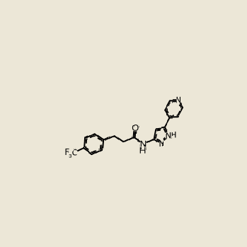 O=C(CCc1ccc(C(F)(F)F)cc1)Nc1cc(-c2ccncc2)[nH]n1